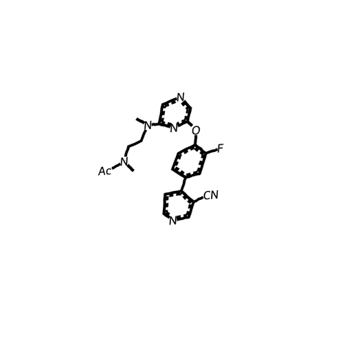 CC(=O)N(C)CCN(C)c1cncc(Oc2ccc(-c3ccncc3C#N)cc2F)n1